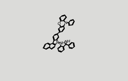 N=C(c1ccccc1)c1ccccc1Nn1c2cc(-c3ccc4c(c3)Oc3ccccc3N4c3ccccc3)ccc2c2c3ccccc3ccc21